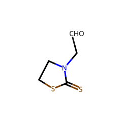 O=CCN1CCSC1=S